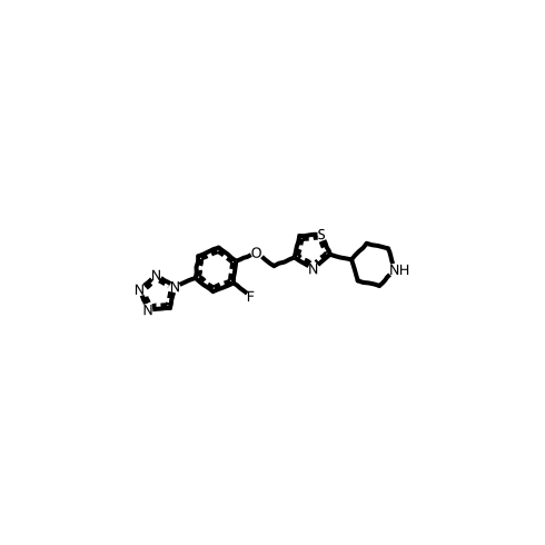 Fc1cc(-n2cnnn2)ccc1OCc1csc(C2CCNCC2)n1